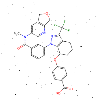 CN(C(=O)c1cccc(-n2nc(C(F)(F)F)c3c2C(Oc2ccc(C(=O)O)cc2)CCC3)c1)c1cnc2c(c1)COC2